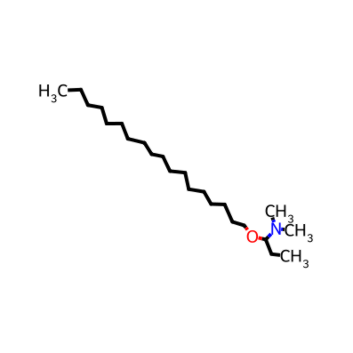 CCCCCCCCCCCCCCCCCCOC(CC)N(C)C